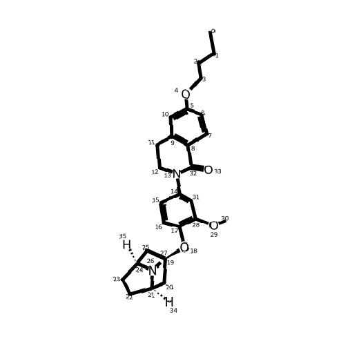 CCCCOc1ccc2c(c1)CCN(c1ccc(O[C@H]3C[C@H]4CC[C@@H](C3)N4C)c(OC)c1)C2=O